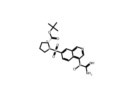 CC(C)(C)OC(=O)[C@H]1CCCN1S(=O)(=O)c1ccc2c(N(Cl)C(=N)N)cncc2c1